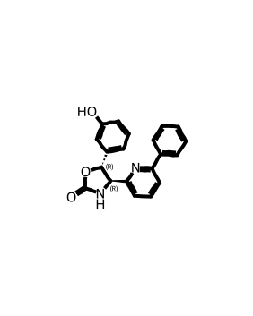 O=C1N[C@H](c2cccc(-c3ccccc3)n2)[C@@H](c2cccc(O)c2)O1